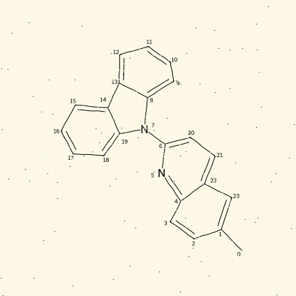 Cc1ccc2nc(-n3c4ccccc4c4ccccc43)ccc2c1